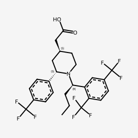 CCC[C@H](c1cc(C(F)(F)F)ccc1C(F)(F)F)N1CC[C@H](CC(=O)O)C[C@H]1c1ccc(C(F)(F)F)cc1